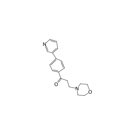 O=C(CCN1CCOCC1)c1ccc(-c2cccnc2)cc1